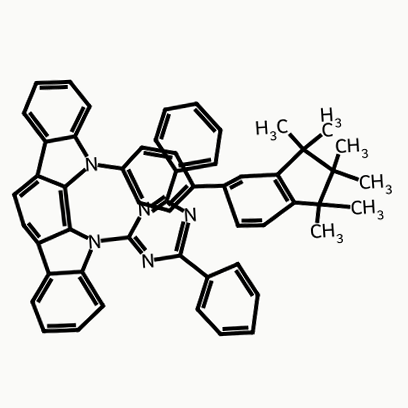 CC1(C)c2ccc(-c3ccc(-n4c5ccccc5c5ccc6c7ccccc7n(-c7nc(-c8ccccc8)nc(-c8ccccc8)n7)c6c54)cc3)cc2C(C)(C)C1(C)C